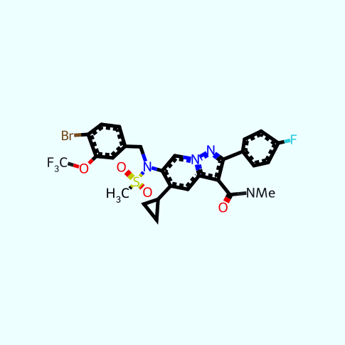 CNC(=O)c1c(-c2ccc(F)cc2)nn2cc(N(Cc3ccc(Br)c(OC(F)(F)F)c3)S(C)(=O)=O)c(C3CC3)cc12